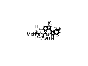 CNC(C)C(=O)NC(C(=O)N1CCC2C1C(c1c[nH]c3ccc(F)cc13)=CN2C(C)=O)C(C)O